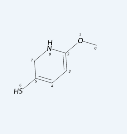 COC1=CC=C(S)CN1